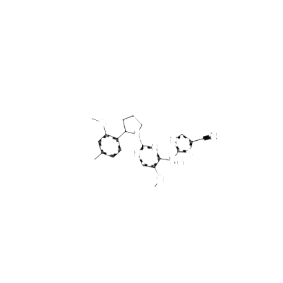 COc1cc(C)ccc1C1CCCN1c1ncc(OC)c(Nc2ncc(C#N)s2)n1